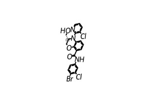 O=C(Nc1ccc(Br)c(Cl)c1)c1cccc2c1OC[C@H](CO)N2c1ncccc1Cl